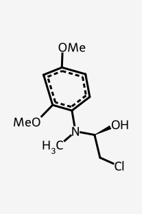 COc1ccc(N(C)[C@@H](O)CCl)c(OC)c1